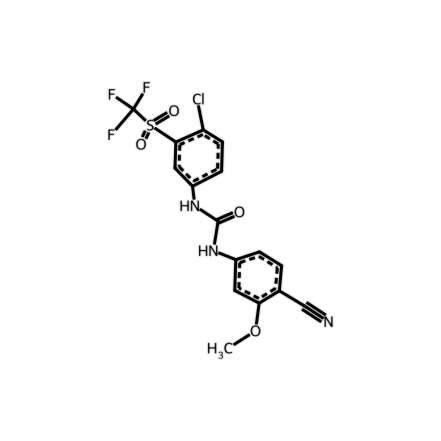 COc1cc(NC(=O)Nc2ccc(Cl)c(S(=O)(=O)C(F)(F)F)c2)ccc1C#N